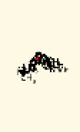 CN[C@@H](C)C(=O)N[C@H]1CCc2ccccc2N(Cc2c(OC)ccc3cc(Cc4c(C)noc4C)ccc23)C1=O